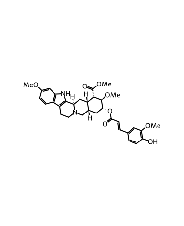 COC(=O)[C@H]1[C@H]2C[C@@H]3c4[nH]c5cc(OC)ccc5c4CCN3C[C@H]2C[C@@H](OC(=O)/C=C/c2ccc(O)c(OC)c2)[C@@H]1OC